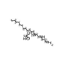 CC(=O)O.CCCCCCCCCCCCNCCNCCN